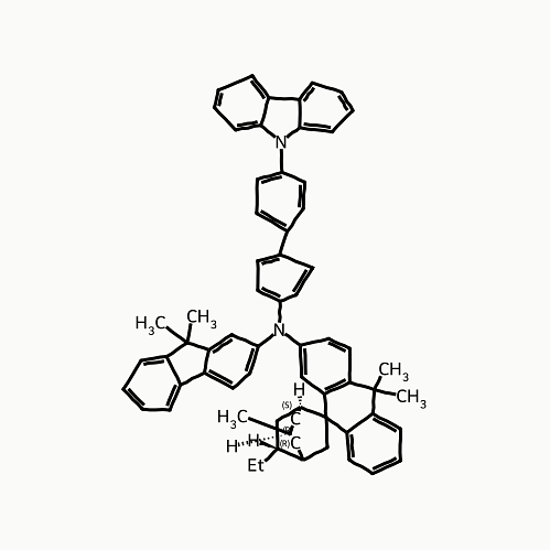 CC[C@@H]1C[C@@H]2C[C@H](C)CC1CC21c2ccccc2C(C)(C)c2ccc(N(c3ccc(-c4ccc(-n5c6ccccc6c6ccccc65)cc4)cc3)c3ccc4c(c3)C(C)(C)c3ccccc3-4)cc21